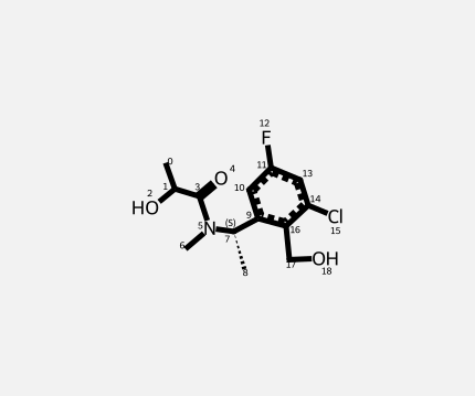 CC(O)C(=O)N(C)[C@@H](C)c1cc(F)cc(Cl)c1CO